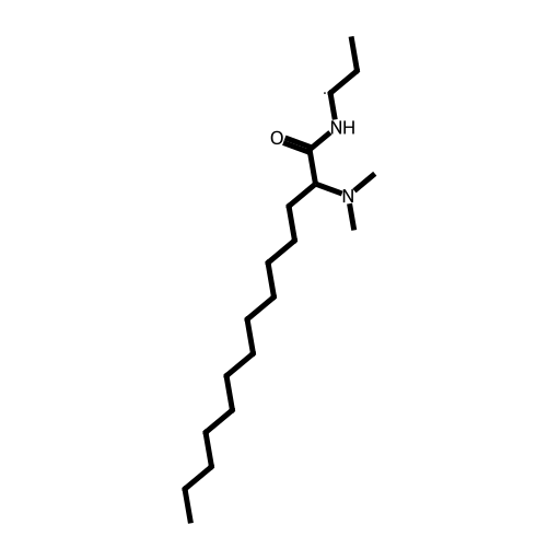 CC[CH]NC(=O)C(CCCCCCCCCCCC)N(C)C